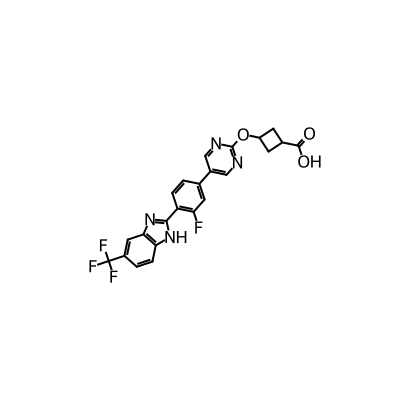 O=C(O)C1CC(Oc2ncc(-c3ccc(-c4nc5cc(C(F)(F)F)ccc5[nH]4)c(F)c3)cn2)C1